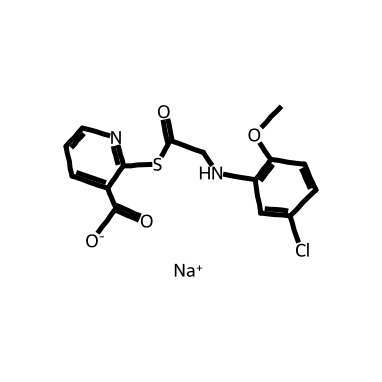 COc1ccc(Cl)cc1NCC(=O)Sc1ncccc1C(=O)[O-].[Na+]